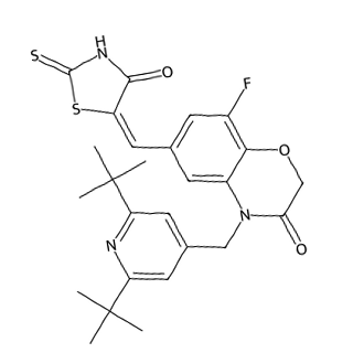 CC(C)(C)c1cc(CN2C(=O)COc3c(F)cc(C=C4SC(=S)NC4=O)cc32)cc(C(C)(C)C)n1